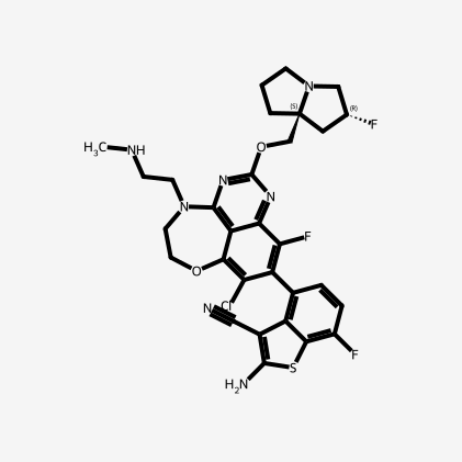 CNCCN1CCOc2c(Cl)c(-c3ccc(F)c4sc(N)c(C#N)c34)c(F)c3nc(OC[C@@]45CCCN4C[C@H](F)C5)nc1c23